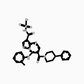 CCS(=O)(=O)NC(=O)c1cnn2c(Nc3ccccc3C)c(C(=O)N3CCC(c4ccccc4)CC3)cnc12